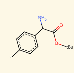 [CH2]c1ccc(C(N)C(=O)OC(C)(C)C)cc1